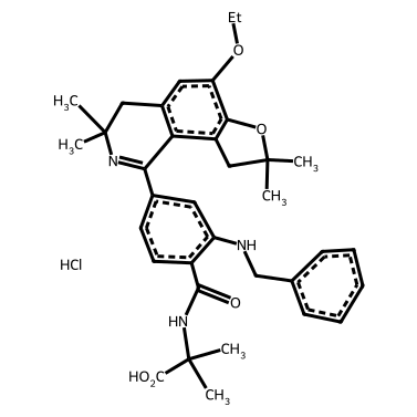 CCOc1cc2c(c3c1OC(C)(C)C3)C(c1ccc(C(=O)NC(C)(C)C(=O)O)c(NCc3ccccc3)c1)=NC(C)(C)C2.Cl